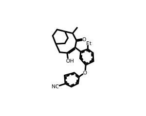 CCc1ccc(Oc2ccc(C#N)cc2)cc1/C1=C(\O)CC2CCC(CC2)C(C)C1=O